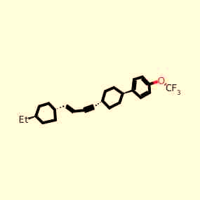 CC[C@H]1CC[C@H](C=CC#C[C@H]2CC[C@H](c3ccc(OC(F)(F)F)cc3)CC2)CC1